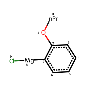 CCCOc1cccc[c]1[Mg][Cl]